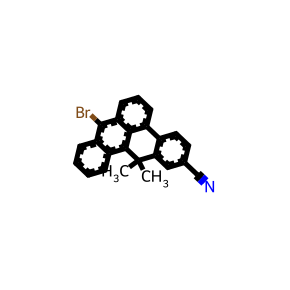 CC1(C)c2cc(C#N)ccc2-c2cccc3c(Br)c4ccccc4c1c23